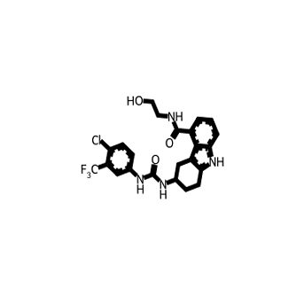 O=C(Nc1ccc(Cl)c(C(F)(F)F)c1)NC1CCc2[nH]c3cccc(C(=O)NCCO)c3c2C1